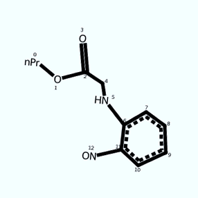 CCCOC(=O)CNc1ccccc1N=O